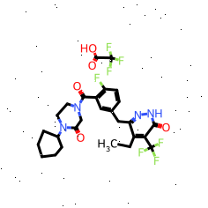 CCc1c(Cc2ccc(F)c(C(=O)N3CCN(C4CCCCC4)C(=O)C3)c2)n[nH]c(=O)c1C(F)(F)F.O=C(O)C(F)(F)F